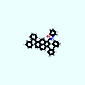 c1ccc(-c2ccccc2-c2ccc3ccc4c(-c5ccccc5-c5ccccc5)cc(-c5nc6ccccc6o5)c5ccc2c3c54)cc1